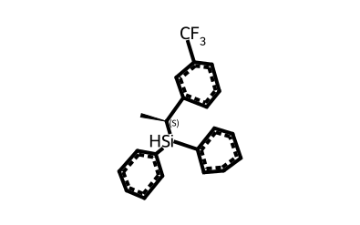 C[C@@H](c1cccc(C(F)(F)F)c1)[SiH](c1ccccc1)c1ccccc1